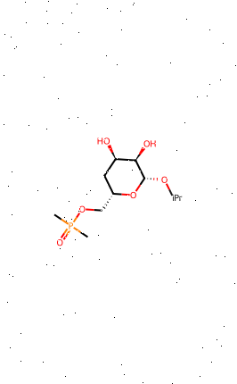 CC(C)O[C@@H]1O[C@H](COP(C)(C)=O)C[C@@H](O)[C@H]1O